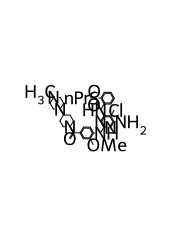 CCCS(=O)(=O)c1ccccc1Nc1nc(Nc2ccc(C(=O)N3CCC(N4CCN(C)CC4)CC3)cc2OC)nc(N)c1Cl